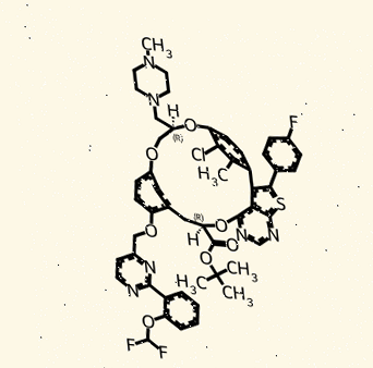 Cc1c2ccc(c1Cl)O[C@H](CN1CCN(C)CC1)COc1ccc(OCc3ccnc(-c4ccccc4OC(F)F)n3)c(c1)C[C@H](C(=O)OC(C)(C)C)Oc1ncnc3sc(-c4ccc(F)cc4)c-2c13